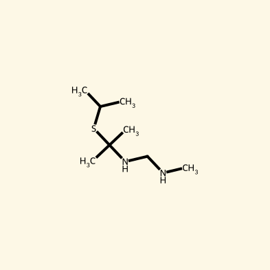 CNCNC(C)(C)SC(C)C